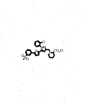 CCOC(=O)C1CCCCN1Cc1cc(-c2ccc(-c3cccc(S(C)(=O)=O)c3)s2)n(-c2ccccc2Cl)n1